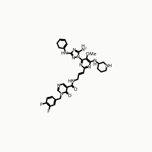 COc1c(NC2CCCNC2)nc(/C=C/CNC(=O)c2cncn(Cc3ccc(F)c(F)c3)c2=O)nc1-n1nc(NC2=CC=CCC2)nc1N